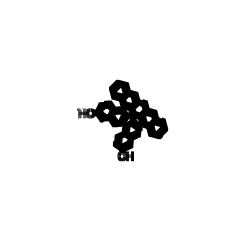 Oc1ccc2cc(C3(c4ccc5cc(O)ccc5c4)c4cc5ccccc5cc4Cc4cc5ccccc5cc43)ccc2c1